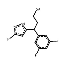 OCCC(c1cc(F)cc(F)c1)c1cc(Br)n[nH]1